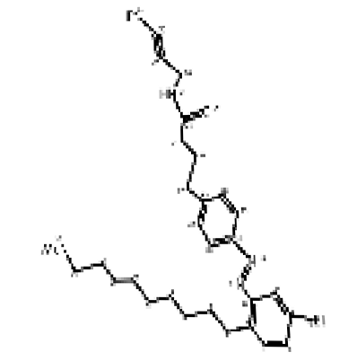 CCc1ccc(CCCCCCCCCNC)c(/N=N/c2ccc(CCCC(=O)NCC#CC(C)C)cc2)c1